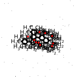 BBB(B)B(B(B)B)c1c(B(B(B)B)B(B)B)c(B(BB)B(B)B)c(B(B)B(B)B)c2c(B(B)BB)c(-c3c4c(C)c(C)c(C)c(C)c4c(C)c4c(-c5c(C)c(C)c(C)c(C)c5C)c(C)c(C)c(C)c34)c(BB)c(B)c12